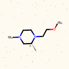 C[C@@H]1CN(C(C)(C)C)CCN1CCOC(C)(C)C